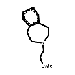 COCCN1CCc2c[c]ccc2CC1